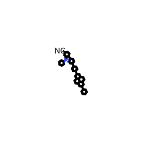 N#Cc1ccc2c3ccc(-c4ccc(-c5cc6ccc7cc(-c8ccccc8)cc8ccc(c5)c6c78)cc4)cc3n(-c3ccccc3)c2c1